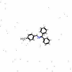 Cc1ccc(CN=C(c2ccccc2)c2ccccc2)cc1